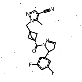 Cc1c(C#N)cnn1CC12CC(C(=O)N3N=CCC3c3cc(F)cc(F)c3)(C1)C2